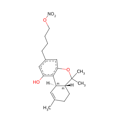 CC1=C[C@H]2c3c(O)cc(CCCCO[N+](=O)[O-])cc3OC(C)(C)[C@@H]2CC1